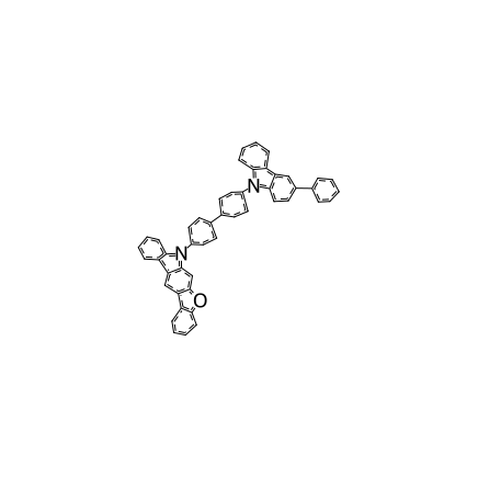 c1ccc(-c2ccc3c(c2)c2ccccc2n3-c2ccc(-c3ccc(-n4c5ccccc5c5cc6c(cc54)oc4ccccc46)cc3)cc2)cc1